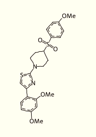 COc1ccc(S(=O)(=O)C2CCN(c3nc(-c4ccc(OC)cc4OC)cs3)CC2)cc1